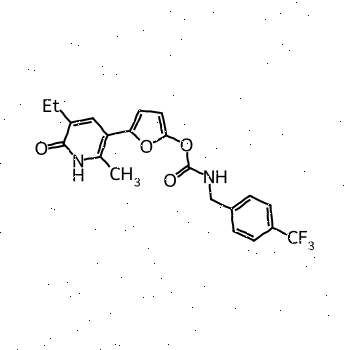 CCc1cc(-c2ccc(OC(=O)NCc3ccc(C(F)(F)F)cc3)o2)c(C)[nH]c1=O